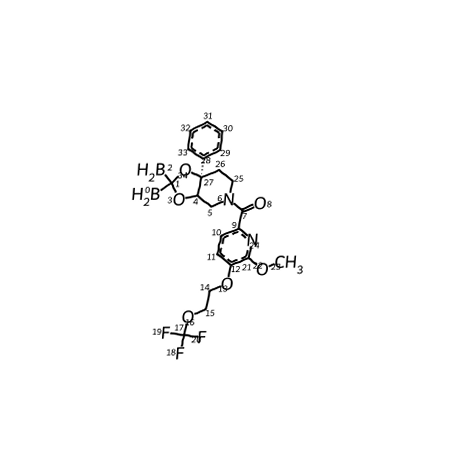 BC1(B)OC2CN(C(=O)c3ccc(OCCOC(F)(F)F)c(OC)n3)CC[C@]2(c2ccccc2)O1